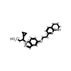 O=C(O)CC(C1CC1)n1ncc2cc(OCCc3ccc4c(n3)NCCC4)ccc21